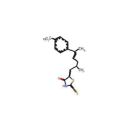 C/C(=C\CC(C)/C=C1\SC(=S)NC1=O)c1ccc(C(=O)O)cc1